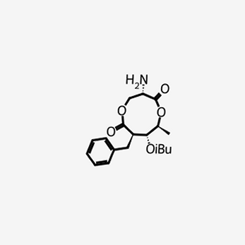 CC(C)CO[C@H]1[C@H](C)OC(=O)[C@@H](N)COC(=O)[C@@H]1Cc1ccccc1